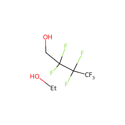 CCO.OCC(F)(F)C(F)(F)C(F)(F)F